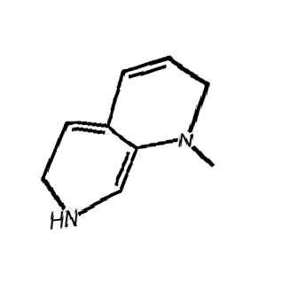 CN1CC=CC2=CCNC=C21